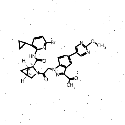 COc1ncc(-c2ccc3c(c2)c(C(C)=O)nn3CC(=O)N2C[C@H]3C[C@H]3[C@H]2C(=O)Nc2nc(Br)ccc2C2CC2)cn1